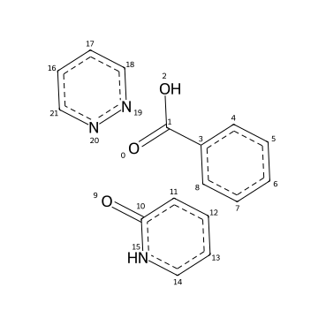 O=C(O)c1ccccc1.O=c1cccc[nH]1.c1ccnnc1